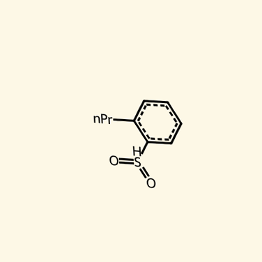 CCCc1ccccc1[SH](=O)=O